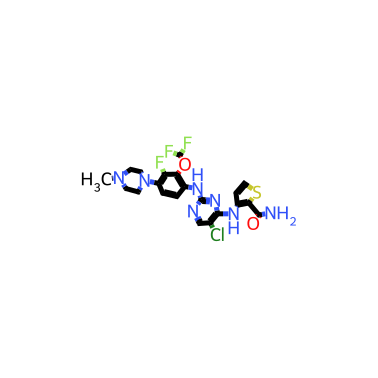 CN1CCN(c2ccc(Nc3ncc(Cl)c(Nc4ccsc4C(N)=O)n3)c(OC(F)F)c2F)CC1